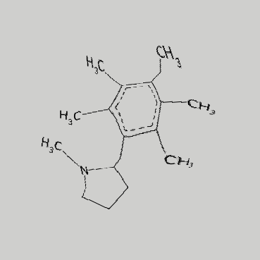 Cc1c(C)c(C)c(C2CCCN2C)c(C)c1C